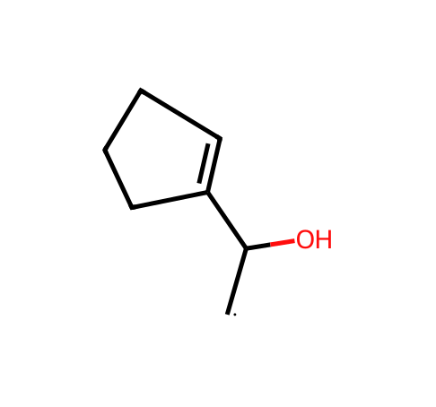 [CH2]C(O)C1=CCCC1